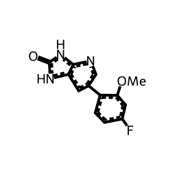 COc1cc(F)ccc1-c1cnc2[nH]c(=O)[nH]c2c1